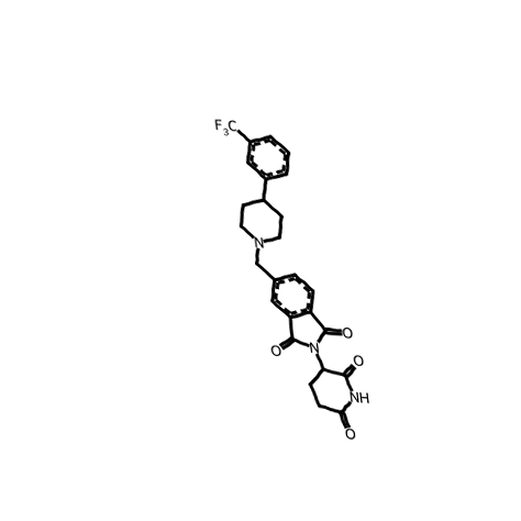 O=C1CCC(N2C(=O)c3ccc(CN4CCC(c5cccc(C(F)(F)F)c5)CC4)cc3C2=O)C(=O)N1